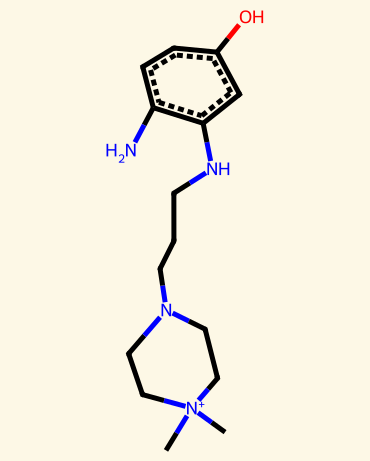 C[N+]1(C)CCN(CCCNc2cc(O)ccc2N)CC1